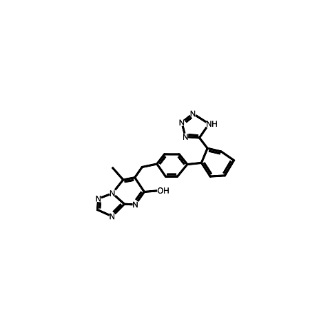 Cc1c(Cc2ccc(-c3ccccc3-c3nnn[nH]3)cc2)c(O)nc2ncnn12